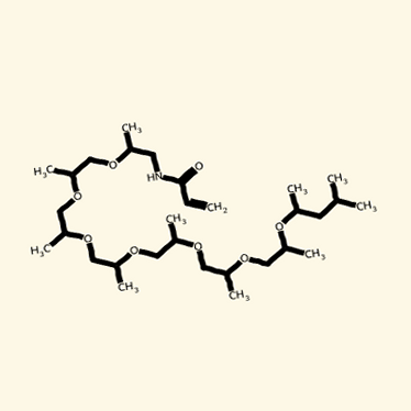 C=CC(=O)NCC(C)OCC(C)OCC(C)OCC(C)OCC(C)OCC(C)OCC(C)OC(C)CC(C)C